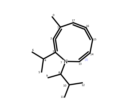 CC1=C=C(C(C)C)N(C(C)C(C)C)/C=C\C=C=C1